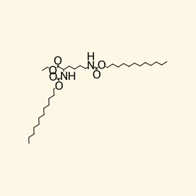 CCCCCCCCCCCCOC(=O)NCCCCC(NC(=O)OCCCCCCCCCCCC)C(=O)OCC